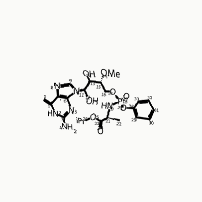 C=C1NC(N)=Nc2c1ncn2C(O)C(O)[C@@H](COP(=O)(N[C@@H](C)C(=O)OC(C)C)Oc1ccccc1)OC